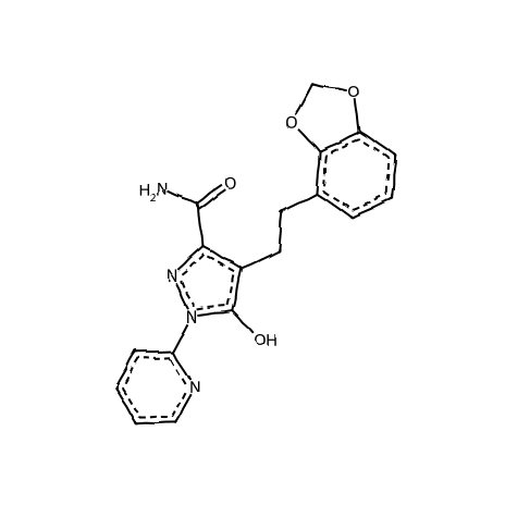 NC(=O)c1nn(-c2ccccn2)c(O)c1CCc1cccc2c1OCO2